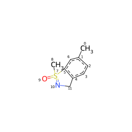 Cc1ccc2c(c1)S(C)(=O)=NC2